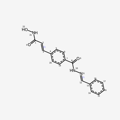 O=C(/C=C/c1ccc(C(=O)N/N=C/c2ccccc2)cc1)NO